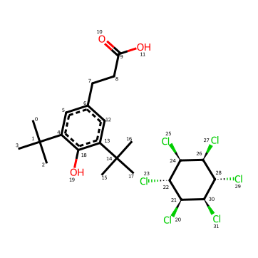 CC(C)(C)c1cc(CCC(=O)O)cc(C(C)(C)C)c1O.Cl[C@H]1[C@H](Cl)[C@@H](Cl)[C@@H](Cl)[C@H](Cl)[C@H]1Cl